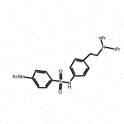 CCCN(CCC)CCc1ccc(NS(=O)(=O)c2ccc(NC(C)=O)cc2)cc1